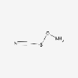 N#CSON